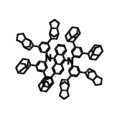 c1ccc(-c2ccc3c(N(c4cc(C5CC6CC5C5CCCC65)cc(C5CC6CC5C5CCCC65)c4)c4cc(C5C6CC7CC(C6)CC5C7)cc(C5C6CC7CC(C6)CC5C7)c4)c4ccccc4c(N(c4cc(C5CC6CC5C5CCCC65)cc(C5CC6CC5C5CCCC65)c4)c4cc(C5C6CC7CC(C6)CC5C7)cc(C5C6CC7CC(C6)CC5C7)c4)c3c2)cc1